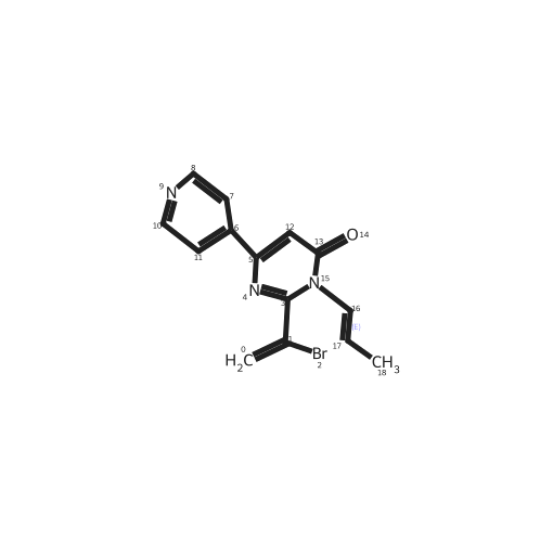 C=C(Br)c1nc(-c2ccncc2)cc(=O)n1/C=C/C